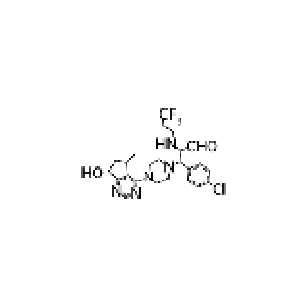 C[C@@H]1C[C@@H](O)c2ncnc(N3CCN(C(c4ccc(Cl)cc4)C(C=O)NCCC(F)(F)F)CC3)c21